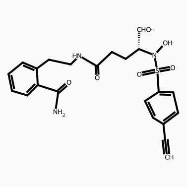 C#Cc1ccc(S(=O)(=O)N(O)[C@@H]([C]=O)CCC(=O)NCCc2ccccc2C(N)=O)cc1